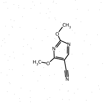 COc1ncc(C#N)c(OC)n1